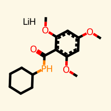 COc1cc(OC)c(C(=O)PC2CCCCC2)c(OC)c1.[LiH]